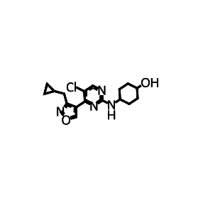 OC1CCC(Nc2ncc(Cl)c(-c3conc3CC3CC3)n2)CC1